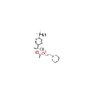 CCC(C)(C)c1ccc(C(C)(OC(C)OCCC2CCCCC2)C(F)(F)F)cc1